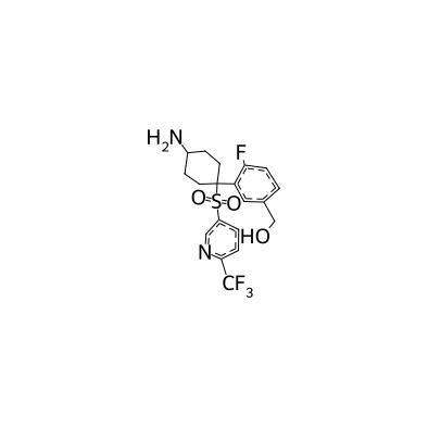 NC1CCC(c2cc(CO)ccc2F)(S(=O)(=O)c2ccc(C(F)(F)F)nc2)CC1